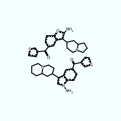 Nc1oc2ccc(C(=O)c3ccsc3)cc2c1C1CCN2CCCC2C1.Nn1cc(C2CCN3CCCCC3C2)c2cc(C(=O)c3ccsc3)ccc21